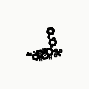 CC(=O)[C@H]1CC[C@H]2[C@@H]3CC[C@H]4C[C@H](OS(C)(=O)=O)[C@@H](N5CCO[C@@H](Cc6ccccc6)C5)C[C@]4(C)[C@H]3CC[C@]12C